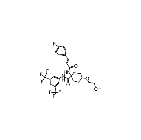 COCCOC1CCC(NC(=O)/C=C/c2ccc(F)cc2)(C(=O)Nc2cc(C(F)(F)F)cc(C(F)(F)F)c2)CC1